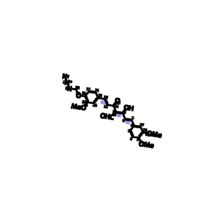 COc1ccc(/C=C/C(O)=C(\C=O)C(=O)/C=C/c2ccc(OCN=[N+]=[N-])c(OC)c2)cc1OC